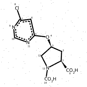 O=C(O)[C@@H]1C[C@H](Oc2cc(Cl)ncn2)CN1C(=O)O